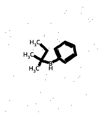 CCC(C)(C)Bc1ccccc1